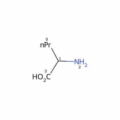 CCCC(N)C(=O)O